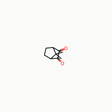 CC1(C)C2CCC1C(=O)C2=O